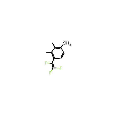 Cc1c([SiH3])ccc(C(F)=C(F)F)c1C